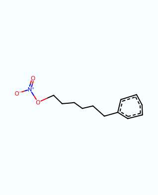 O=[N+]([O-])OCCCCCCc1ccccc1